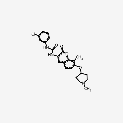 Cc1c(OC2CCN(C)CC2)ccc2cc(NC(=O)Nc3cccc(Cl)c3)c(=O)oc12